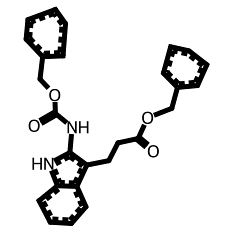 O=C(CCc1c(NC(=O)OCc2ccccc2)[nH]c2ccccc12)OCc1ccccc1